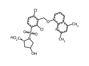 Cc1cc(C)c2cccc(OCc3c(Cl)ccc(S(=O)(=O)N4CC(O)C[C@H]4C(=O)O)c3Cl)c2n1